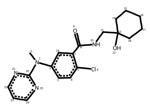 CN(c1ccc(Cl)c(C(=O)NCC2(O)CCCCC2)c1)c1ncccn1